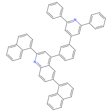 c1ccc(-c2cc(-c3cccc(-c4cc(-c5cccc6ccccc56)nc5ccc(-c6cccc7ccccc67)cc45)c3)cc(-c3ccccc3)n2)cc1